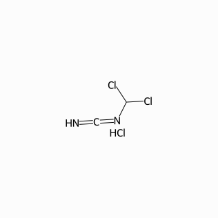 Cl.N=C=NC(Cl)Cl